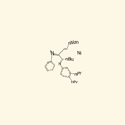 CCCCCCCCCC=CC(=Nc1ccccc1)C(CCCC)=Nc1ccc(CCC)c(CCC)c1.[Ni]